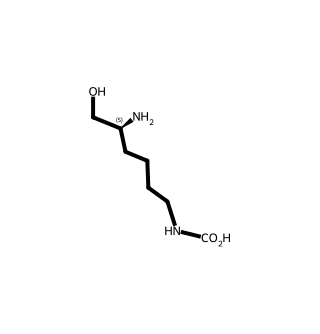 N[C@H](CO)CCCCNC(=O)O